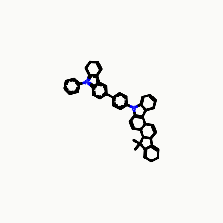 CC1(C)C2=CCCC=C2C2C=CC3C4=C(C=CC3C21)N(c1ccc(-c2ccc3c(c2)c2c(n3-c3ccccc3)CCC=C2)cc1)C1=CC=CCC14